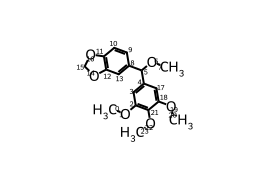 COc1cc(C(OC)c2ccc3c(c2)OCO3)cc(OC)c1OC